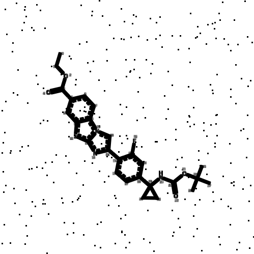 CCOC(=O)c1ccc2c(c1)sc1nc(-c3ccc(C4(NC(=O)OC(C)(C)C)CC4)cc3F)cn12